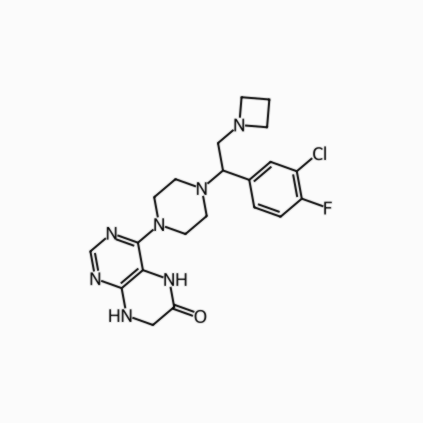 O=C1CNc2ncnc(N3CCN(C(CN4CCC4)c4ccc(F)c(Cl)c4)CC3)c2N1